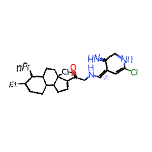 CCCC1C(CC)CCC2C1CCC1(C)C(C(=O)CN/C=C3/C=C(Cl)NCC3=N)CCC21